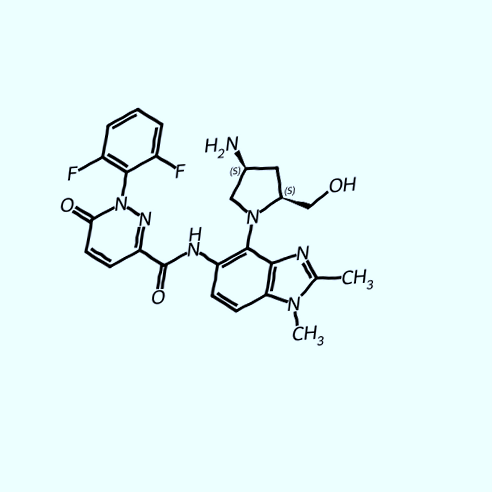 Cc1nc2c(N3C[C@@H](N)C[C@H]3CO)c(NC(=O)c3ccc(=O)n(-c4c(F)cccc4F)n3)ccc2n1C